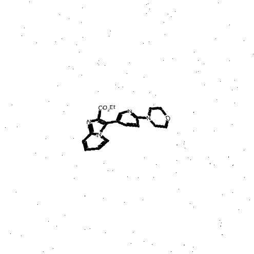 CCOC(=O)c1nc2ccccn2c1-c1ccc(N2CCOCC2)nc1